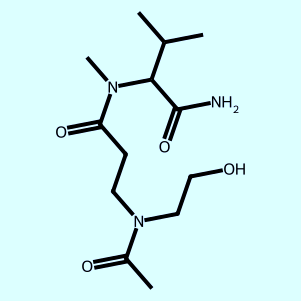 CC(=O)N(CCO)CCC(=O)N(C)C(C(N)=O)C(C)C